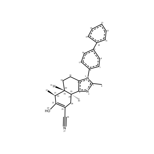 Cc1nc2c(n1-c1ccc(-c3ccccc3)cc1)CC[C@H]1[C@H](C)C(O)=C(C#N)C[C@]21C